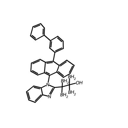 BC(B)(O)C(B)(B)c1nc2ccccc2n1-c1c2ccccc2c(-c2cccc(-c3ccccc3)c2)c2ccccc12